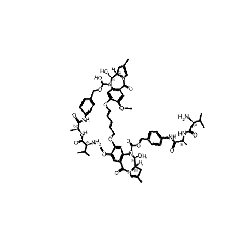 COc1cc2c(cc1OCCCCCOc1cc3c(cc1OC)C(=O)N1C=C(C)C[C@H]1[C@H](O)N3C(O)OCc1ccc(NC(=O)[C@H](C)NC(=O)[C@@H](N)C(C)C)cc1)N(C(=O)OCc1ccc(NC(=O)[C@H](C)NC(=O)[C@@H](N)C(C)C)cc1)[C@@H](O)[C@@H]1CC(C)=CN1C2=O